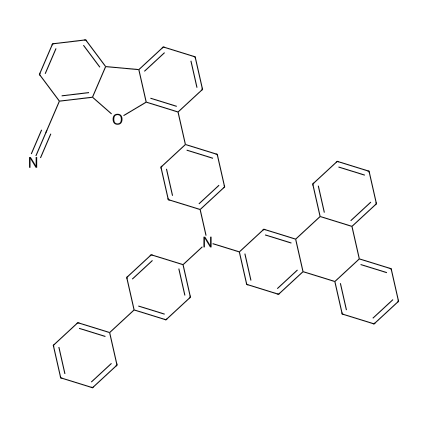 N#Cc1cccc2c1oc1c(-c3ccc(N(c4ccc(-c5ccccc5)cc4)c4ccc5c6ccccc6c6ccccc6c5c4)cc3)cccc12